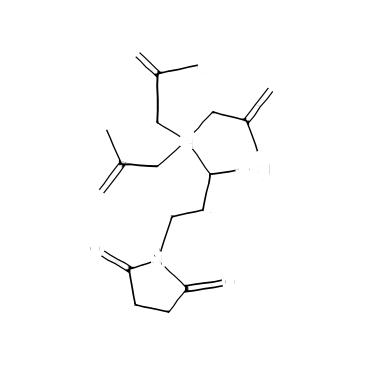 C=C(C)C[Si](CC(=C)C)(CC(=C)C)C(CCN1C(=O)CCC1=O)C(=O)O